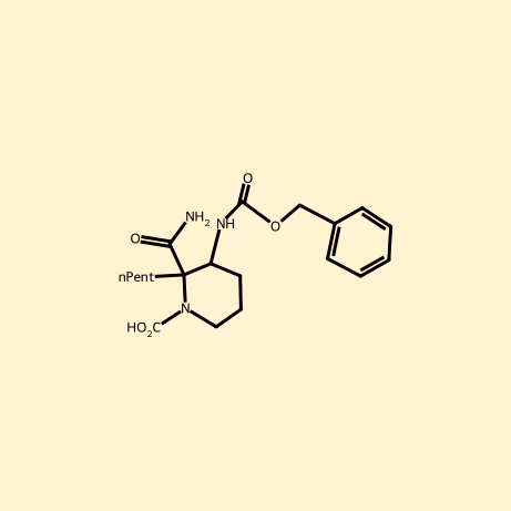 CCCCCC1(C(N)=O)C(NC(=O)OCc2ccccc2)CCCN1C(=O)O